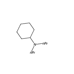 [CH2]CCN(CC[CH2])C1CCCCC1